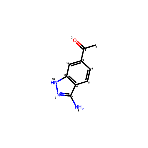 CC(=O)c1ccc2c(N)n[nH]c2c1